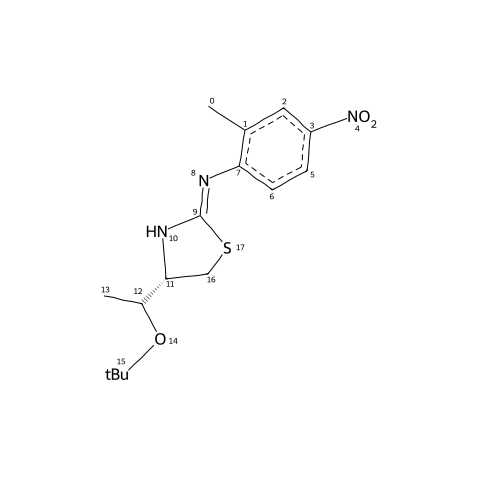 Cc1cc([N+](=O)[O-])ccc1/N=C1/N[C@@H](C(C)OC(C)(C)C)CS1